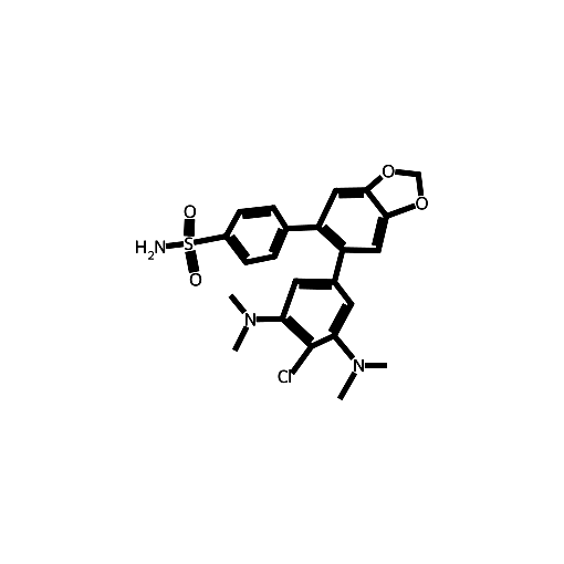 CN(C)c1cc(-c2cc3c(cc2-c2ccc(S(N)(=O)=O)cc2)OCO3)cc(N(C)C)c1Cl